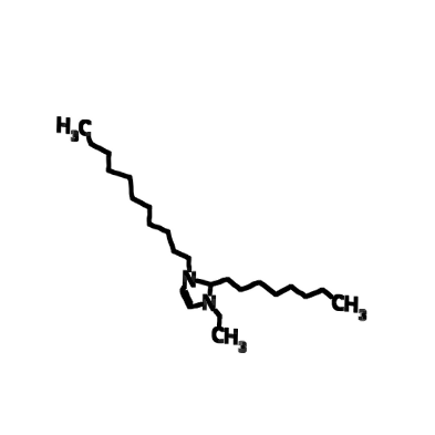 CCCCCCCCCCCN1C=CN(CC)C1CCCCCCCC